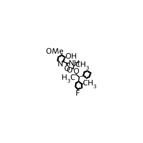 COc1ccnc(C(=O)N[C@@H](C)C(=O)O[C@@H](C)[C@@H](c2ccccc2)c2ccc(F)cc2C)c1O